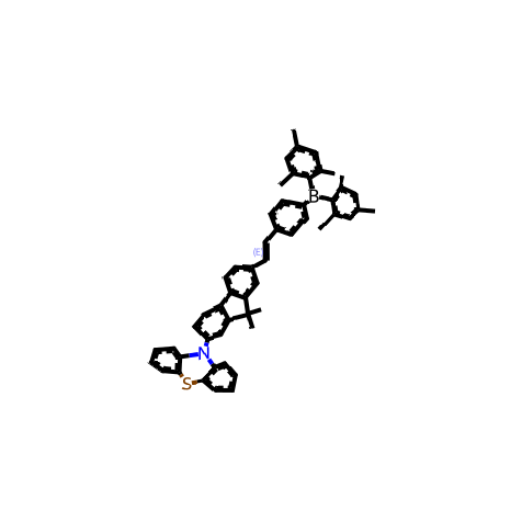 Cc1cc(C)c(B(c2ccc(/C=C/c3ccc4c(c3)C(C)(C)c3cc(N5c6ccccc6Sc6ccccc65)ccc3-4)cc2)c2c(C)cc(C)cc2C)c(C)c1